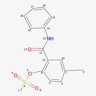 Cc1ccc(OS(C)(=O)=O)c(C(=O)Nc2ccccc2)c1